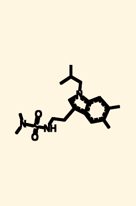 Cc1cc2c(CCNS(=O)(=O)N(C)C)cn(CC(C)C)c2cc1C